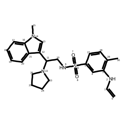 C=CNc1cc(S(=O)(=O)NCC(c2cn(C)c3ccccc23)N2CCCC2)ccc1C